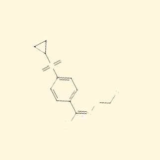 NCO/N=C(/C(=O)O)c1ccc(S(=O)(=O)C2CC2)cc1